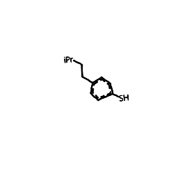 CC(C)CCc1ccc(S)cc1